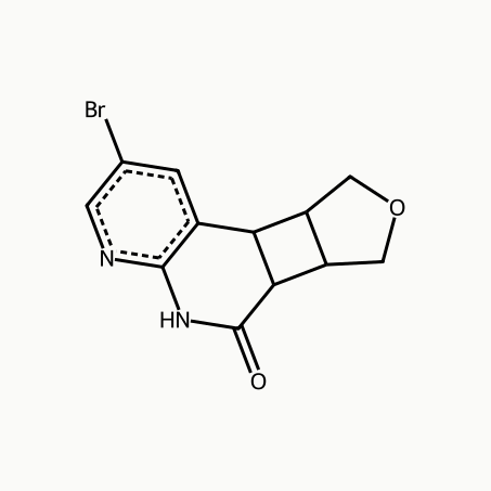 O=C1Nc2ncc(Br)cc2C2C3COCC3C12